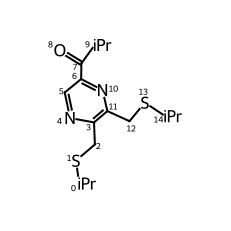 CC(C)SCc1ncc(C(=O)C(C)C)nc1CSC(C)C